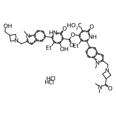 CCc1c(-c2ccc3c(c2)cc(CN2CC(CO)C2)n3C)[nH]c(=O)c(C(=O)Oc2c(CC)c(-c3ccc4c(c3)cc(CN3CC(C(=O)N(C)C)C3)n4C)[nH]c(=O)c2C(=O)O)c1O.Cl.Cl